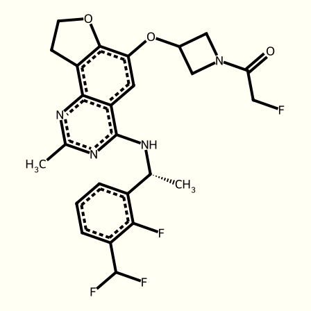 Cc1nc(N[C@H](C)c2cccc(C(F)F)c2F)c2cc(OC3CN(C(=O)CF)C3)c3c(c2n1)CCO3